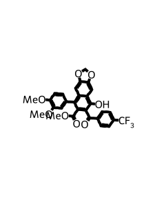 COC(=O)c1c(C(=O)c2ccc(C(F)(F)F)cc2)c(O)c2cc3c(cc2c1-c1ccc(OC)c(OC)c1)OCO3